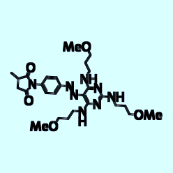 COCCCNc1nc(NCCCOC)c(N=Nc2ccc(N3C(=O)CC(C)C3=O)cc2)c(NCCCOC)n1